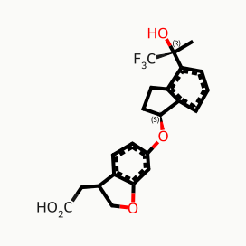 C[C@@](O)(c1cccc2c1CC[C@@H]2Oc1ccc2c(c1)OCC2CC(=O)O)C(F)(F)F